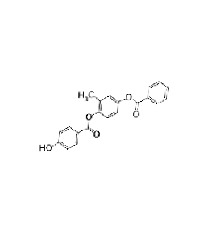 Cc1cc(OC(=O)c2ccccc2)ccc1OC(=O)c1ccc(O)cc1